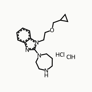 Cl.Cl.c1ccc2c(c1)nc(N1CCCNCC1)n2CCOCC1CC1